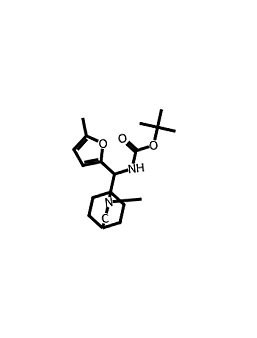 Cc1ccc(C(NC(=O)OC(C)(C)C)C23CCC(CC2)CN3C)o1